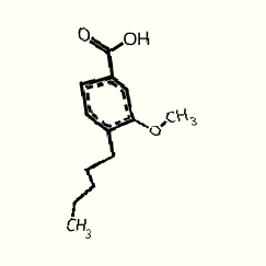 CCCCCc1ccc(C(=O)O)cc1OC